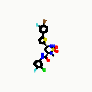 CN1[C@H](C(=O)Nc2ccc(F)c(Cl)c2)C[C@H](c2ccc(-c3ccc(Br)c(F)c3)s2)NS1(=O)=O